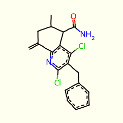 C=C1CC(C)C(C(N)=O)c2c1nc(Cl)c(Cc1ccccc1)c2Cl